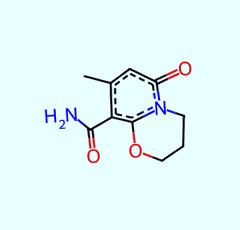 Cc1cc(=O)n2c(c1C(N)=O)OCCC2